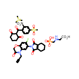 C#CCN1C(=O)COc2cc(F)c(N3C(=O)C4=C(CCCC4)C3=O)cc21.CS(=O)(=O)c1ccc(C(=O)C2C(=O)CCCC2=O)c([N+](=O)[O-])c1.C[S+](C)C.O=C(O)CNCP(=O)([O-])O